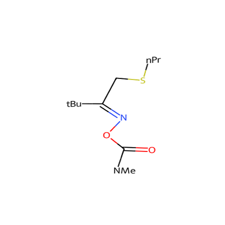 CCCSCC(=NOC(=O)NC)C(C)(C)C